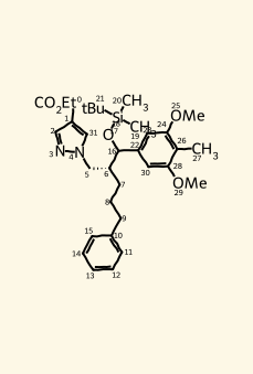 CCOC(=O)c1cnn(C[C@@H](CCCc2ccccc2)C(O[Si](C)(C)C(C)(C)C)c2cc(OC)c(C)c(OC)c2)c1